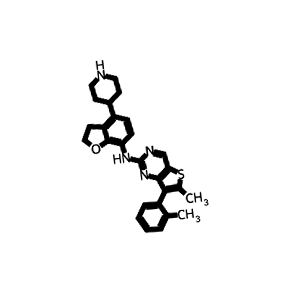 Cc1ccccc1-c1c(C)sc2cnc(Nc3ccc(C4CCNCC4)c4c3OCC4)nc12